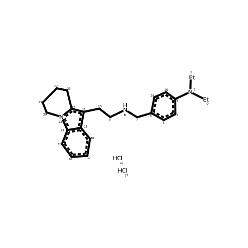 CCN(CC)c1ccc(CNCCc2c3n(c4ccccc24)CCCC3)cc1.Cl.Cl